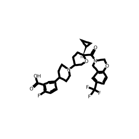 O=C(O)c1cc(C2CCN(C3CC[C@@](C(=O)N4COc5ccc(C(F)(F)F)cc5C4)(C4CC4)OC3)CC2)ccc1F